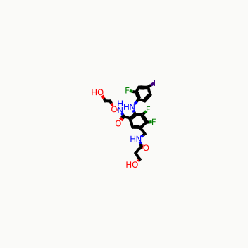 O=C(CCO)NCc1cc(C(=O)NOCCO)c(Nc2ccc(I)cc2F)c(F)c1F